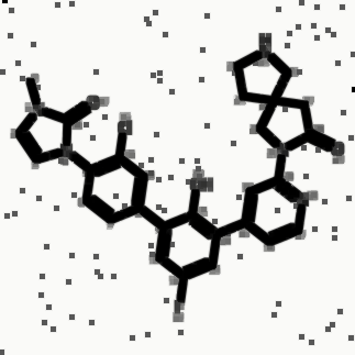 Cn1ccn(-c2ccc(-c3cc(F)cc(-c4ccnc(N5CC6(CCNC6)CC5=O)c4)c3O)cc2Cl)c1=O